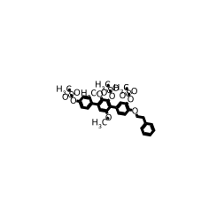 COc1cc(-c2ccc(OS(C)(=O)=O)cc2)c(OC)c(OS(C)(=O)=O)c1-c1ccc(OCCc2ccccc2)c(OS(C)(=O)=O)c1